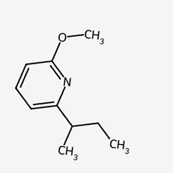 CCC(C)c1cccc(OC)n1